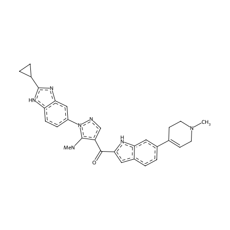 CNc1c(C(=O)c2cc3ccc(C4=CCN(C)CC4)cc3[nH]2)cnn1-c1ccc2[nH]c(C3CC3)nc2c1